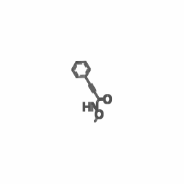 CONC(=O)C#Cc1ccccc1